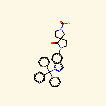 O=C(O)N1CCC2(CCN(c3ccc4c(cnn4C(c4ccccc4)(c4ccccc4)c4ccccc4)c3)C2=O)C1